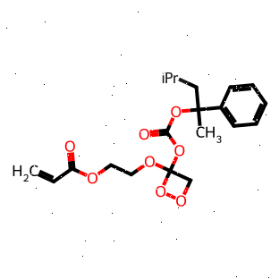 C=CC(=O)OCCOC1(OC(=O)OC(C)(CC(C)C)c2ccccc2)COO1